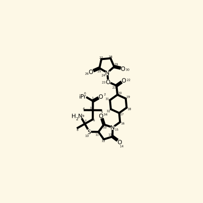 CC(C)C(=O)C(C)(C)CC(C)(N)SC1CC(=O)N(CC2CCC(C(=O)ON3C(=O)CCC3=O)CC2)C1=O